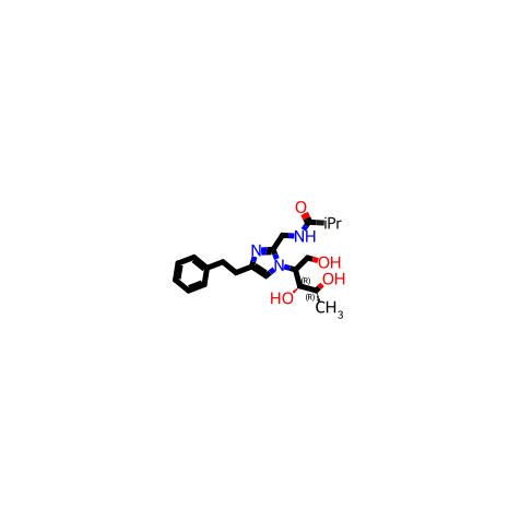 CC(C)C(=O)NCc1nc(CCc2ccccc2)cn1C(CO)[C@@H](O)[C@@H](C)O